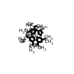 CC(C)C1=C([Si](c2cc(C(C)C)cc(C(C)C)c2)(c2cc(C(C)C)cc(C(C)C)c2)c2cc(C(C)C)cc(C(C)C)c2)CC=[C]1[Ti+3].[Cl-].[Cl-].[Cl-]